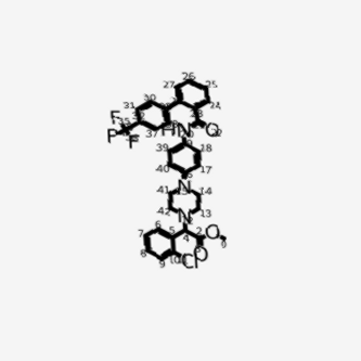 COC(=O)C(c1ccccc1Cl)N1CCN(c2ccc(NC(=O)c3ccccc3-c3ccc(C(F)(F)F)cc3)cc2)CC1